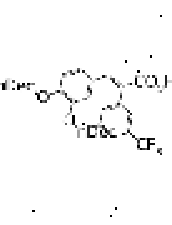 CCCCCCCCCCOc1ccc(C=C(C(=O)O)c2cccc(C(F)(F)F)c2)cc1OCCCCCCCCCC